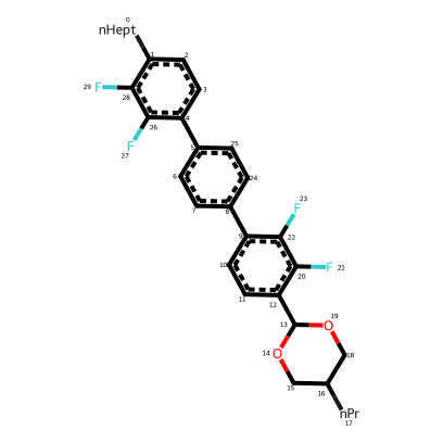 CCCCCCCc1ccc(-c2ccc(-c3ccc(C4OCC(CCC)CO4)c(F)c3F)cc2)c(F)c1F